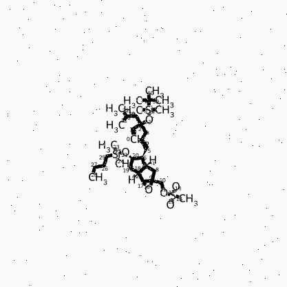 C=CC(C/C=C/[C@H]1[C@H]2CC3(COS(C)(=O)=O)OC3[C@H]2C[C@H]1O[Si](C)(C)CCCC)(CC(C)C)O[Si](C)(C)C(C)(C)C